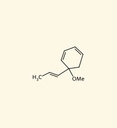 CC=CC1(OC)C=CC=CC1